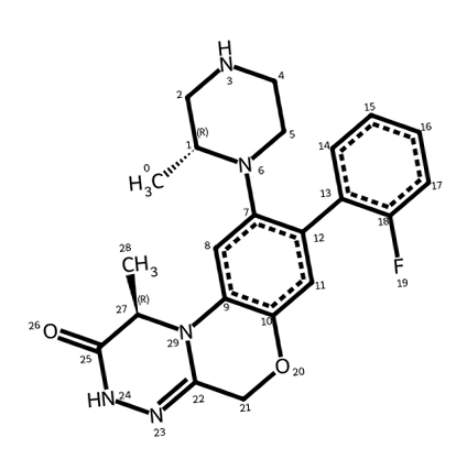 C[C@@H]1CNCCN1c1cc2c(cc1-c1ccccc1F)OCC1=NNC(=O)[C@@H](C)N12